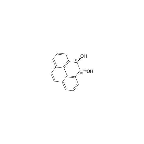 O[C@@H]1c2cccc3ccc4cccc(c4c23)[C@H]1O